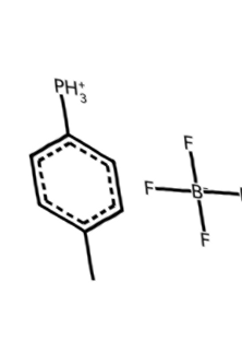 Cc1ccc([PH3+])cc1.F[B-](F)(F)F